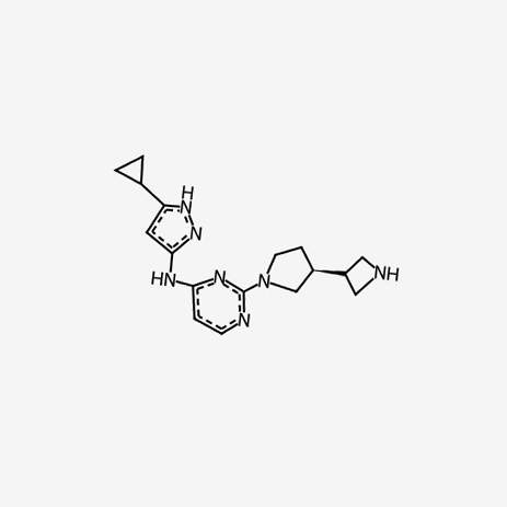 c1cc(Nc2cc(C3CC3)[nH]n2)nc(N2CC[C@@H](C3CNC3)C2)n1